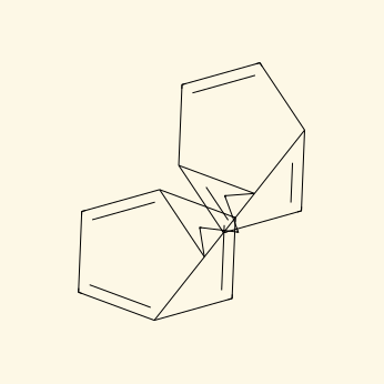 C1=CC2=CC=C1C21CCCC12C1=CC=C2C=C1